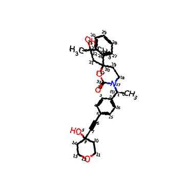 C[C@@H](c1ccc(C#CC2(O)CCOCC2)cc1)N1CCC(CC(C)(C)O)(c2ccccc2)OC1=O